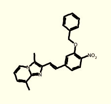 Cc1cccn2c(C)c(C=Cc3ccc([N+](=O)[O-])c(OCc4ccccc4)c3)nc12